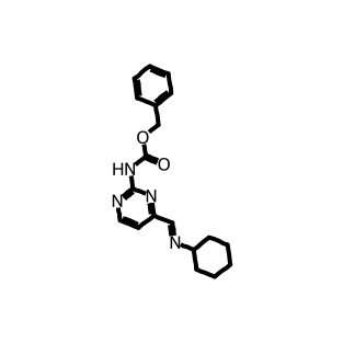 O=C(Nc1nccc(C=NC2CCCCC2)n1)OCc1ccccc1